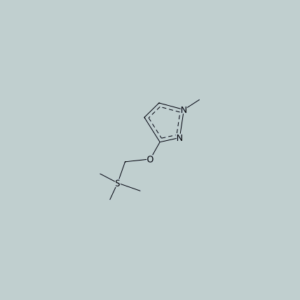 Cn1ccc(OCS(C)(C)C)n1